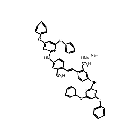 O=S(=O)(O)c1cc(Nc2nc(Oc3ccccc3)cc(Oc3ccccc3)n2)ccc1/C=C/c1ccc(Nc2nc(Oc3ccccc3)cc(Oc3ccccc3)n2)cc1S(=O)(=O)O.[NaH].[NaH]